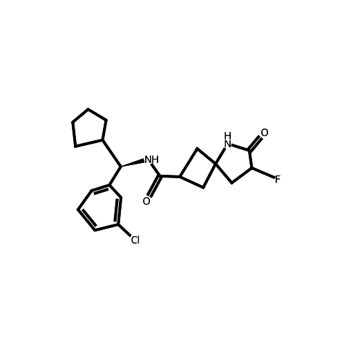 O=C1NC2(CC1F)CC(C(=O)N[C@@H](c1cccc(Cl)c1)C1CCCC1)C2